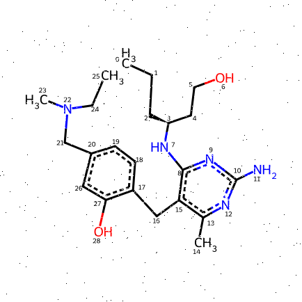 CCC[C@@H](CCO)Nc1nc(N)nc(C)c1Cc1ccc(CN(C)CC)cc1O